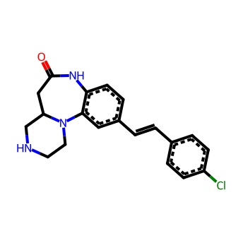 O=C1CC2CNCCN2c2cc(/C=C/c3ccc(Cl)cc3)ccc2N1